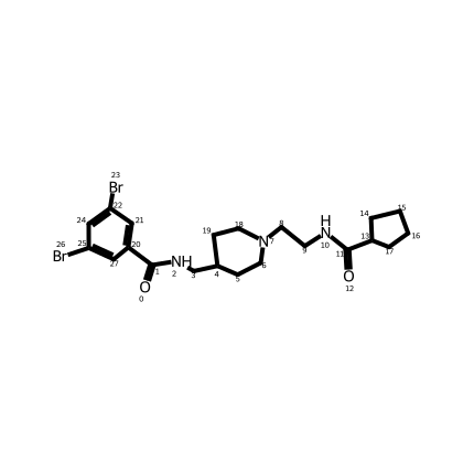 O=C(NCC1CCN(CCNC(=O)C2CCCC2)CC1)c1cc(Br)cc(Br)c1